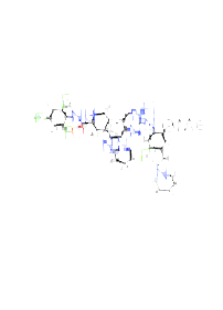 COc1cc(CCN2CCCCC2)c(F)cc1Nc1nccc(-c2c(-c3cccc(C(=O)Nc4c(F)cc(F)cc4F)c3)nc3ccccn23)n1